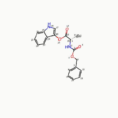 CCC(C)[C@H](NC(=O)OCc1ccccc1)C(=O)Oc1c[nH]c2ccccc12